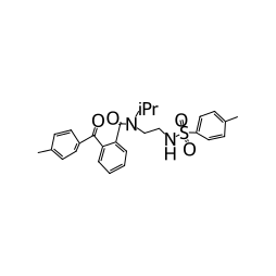 Cc1ccc(C(=O)c2ccccc2C(=O)N(CCNS(=O)(=O)c2ccc(C)cc2)C(C)C)cc1